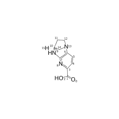 O=C(O)c1ccc2c(n1)N[C@H]1CCN2C1